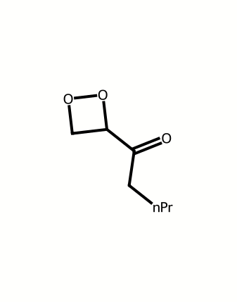 CCCCC(=O)C1COO1